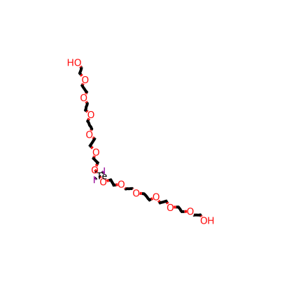 OCCOCCOCCOCCOCCOCCO[Te](I)(I)OCCOCCOCCOCCOCCOCCO